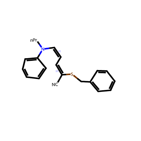 CCCN(/C=C\C=C(\C#N)SCc1ccccc1)c1ccccc1